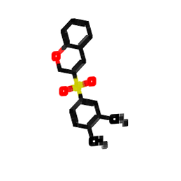 Cc1ccc(S(=O)(=O)C2=Cc3ccccc3OC2)cc1C